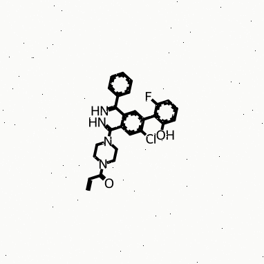 C=CC(=O)N1CCN(C(=N)c2cc(Cl)c(-c3c(O)cccc3F)cc2C(=N)c2ccccc2)CC1